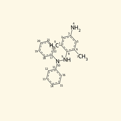 Cc1cc(N)cc(C)c1NN(c1ccccc1)c1ccccc1